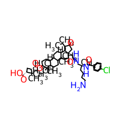 CC(C)C1=C2[C@H]3CC[C@@H]4[C@@]5(C)CC[C@H](OC(=O)[C@H]6C[C@@H](C(=O)O)C6(C)C)C(C)(C)[C@@H]5CC[C@@]4(C)[C@]3(C)CC[C@@]2(CC(=O)NCC(C)(CCCCN)NC(=O)c2ccc(Cl)cc2)CC1=O